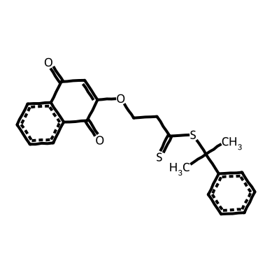 CC(C)(SC(=S)CCOC1=CC(=O)c2ccccc2C1=O)c1ccccc1